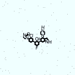 CN1CCN(c2ccc(-c3cc(F)cc(-c4cc(N5CCNCC5)c5cc[nH]c5c4)c3O)cc2Cl)C1=O